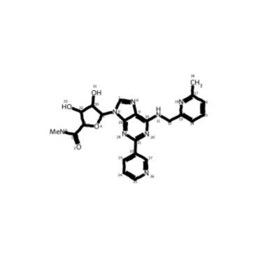 CNC(=O)C1OC(n2cnc3c(NCc4cccc(C)n4)nc(-c4cccnc4)nc32)C(O)C1O